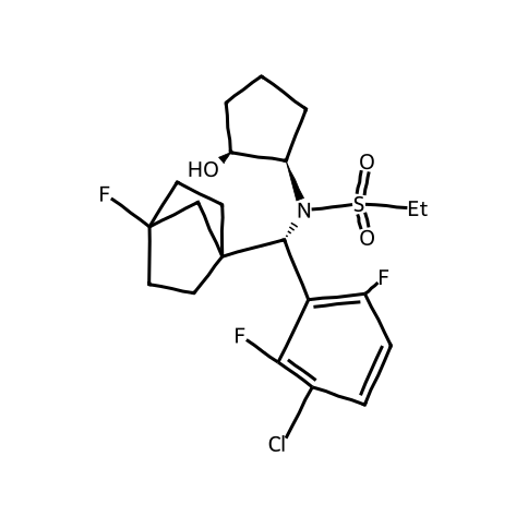 CCS(=O)(=O)N([C@@H]1CCC[C@@H]1O)[C@H](c1c(F)ccc(Cl)c1F)C12CCC(F)(CC1)C2